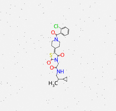 CC(CNC(=O)CN1C(=O)SC(=C2CCN(C(=O)c3ccccc3Cl)CC2)C1=O)C1CC1